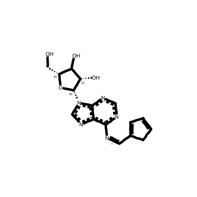 OC[C@H]1O[C@@H](n2cnc3c(/N=C\C4=CC=CC4)ncnc32)[C@@H](O)C1O